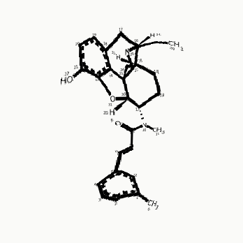 Cc1cccc(C=CC(=O)N(C)[C@H]2CC[C@H]3[C@H]4Cc5ccc(O)c6c5[C@@]3(CCN4C)[C@H]2O6)c1